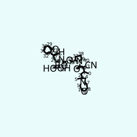 CC(CC(C)(C)N1CCOCC1)C(C#N)C(=O)N1[C@@H](COC(=O)N[C@@H](Cc2coc3ccccc23)B(O)O)CC[C@@H]1C